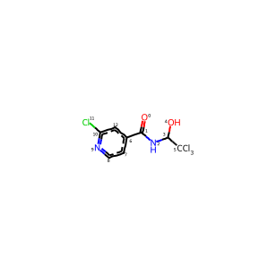 O=C(NC(O)C(Cl)(Cl)Cl)c1ccnc(Cl)c1